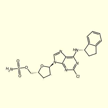 NS(=O)(=O)OC[C@H]1[CH][CH][C@H](n2cnc3c(N[C@H]4CCc5ccccc54)nc(Cl)nc32)O1